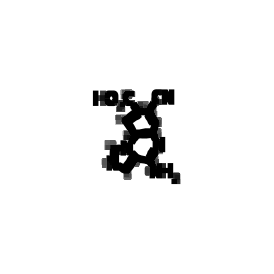 N#Cc1cc2nc(N)c3cncn3c2cc1C(=O)O